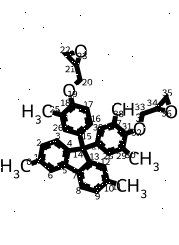 Cc1ccc2c(c1)-c1ccc(C)cc1C2(c1ccc(OCC2CO2)c(C)c1)c1cc(C)c(OCC2CO2)c(C)c1